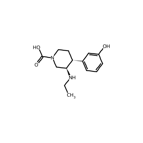 CCN[C@H]1CN(C(=O)O)CC[C@@H]1c1cccc(O)c1